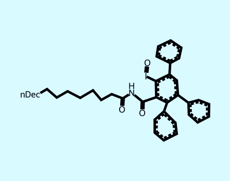 CCCCCCCCCCCCCCCCCC(=O)NC(=O)c1c(I=O)c(-c2ccccc2)cc(-c2ccccc2)c1-c1ccccc1